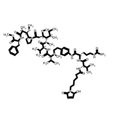 CC[C@H](C)[C@@H]([C@@H](CC(=O)N1CCC[C@H]1[C@H](OC)[C@@H](C)C(=O)N[C@@H](Cc1ccccc1)C(=O)OC)OC)N(C)C(=O)[C@@H](NC(=O)[C@H](C(C)C)N(C)CCc1ccc(NC(=O)[C@H](CCCNC(N)=O)NC(=O)[C@@H](NC(=O)CCCCCN2C(=O)C=CC2O)C(C)C)cc1)C(C)C